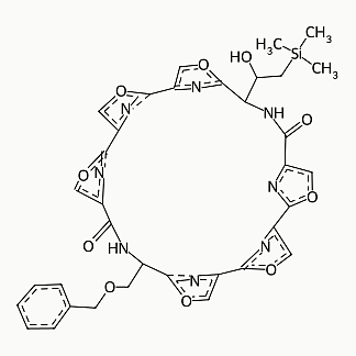 C[Si](C)(C)CC(O)C1NC(=O)c2coc(n2)-c2coc(n2)-c2coc(n2)C(COCc2ccccc2)NC(=O)c2coc(n2)-c2coc(n2)-c2coc1n2